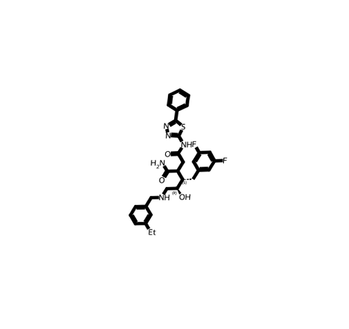 CCc1cccc(CNC[C@H](O)[C@@H](Cc2cc(F)cc(F)c2)C(CC(=O)Nc2nnc(-c3ccccc3)s2)C(N)=O)c1